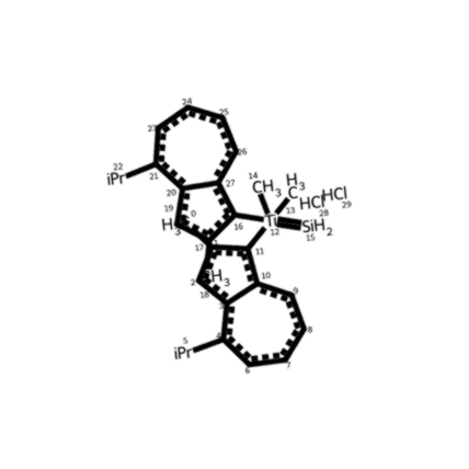 Cc1cc2c(C(C)C)ccccc-2[c]1[Ti]([CH3])([CH3])(=[SiH2])[c]1c(C)cc2c(C(C)C)ccccc1-2.Cl.Cl